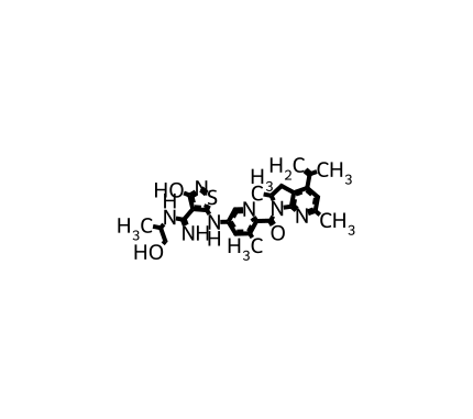 C=C(C)c1cc(C)nc2c1CC(C)N2C(=O)c1ncc(Nc2snc(O)c2C(=N)NC(C)CO)cc1C